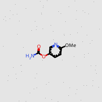 COc1ccc(OC(N)=O)cn1